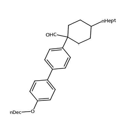 CCCCCCCCCCOc1ccc(-c2ccc(C3(C=O)[CH]CC(CCCCCCC)CC3)cc2)cc1